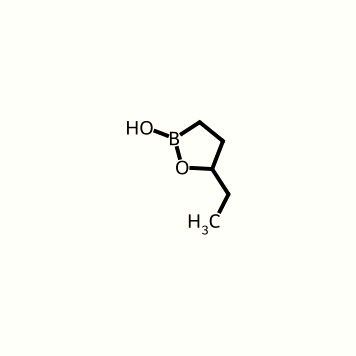 CCC1CCB(O)O1